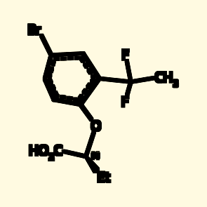 CC[C@H](Oc1ccc(Br)cc1C(C)(F)F)C(=O)O